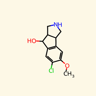 COc1cc2c(cc1Cl)C(O)C1CNCC21